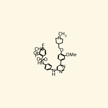 COc1cc(-c2cc(Nc3ccc(NS(=O)(=O)c4ccc(F)cc4F)cc3)ncn2)ccc1OCC1CCN(C)CC1.O=CO